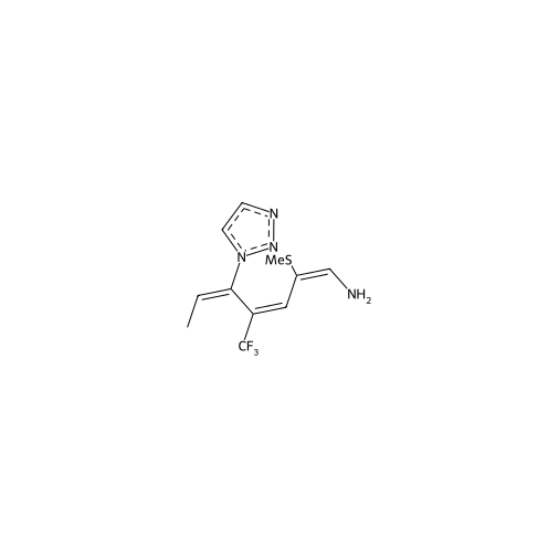 C\C=C(/C(=C\C(=C/N)SC)C(F)(F)F)n1ccnn1